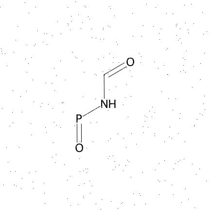 O=CNP=O